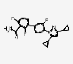 NC(=O)c1c(F)ccc(-c2ccc(-n3nc(C4CC4)cc3C3CC3)c(F)c2)c1F